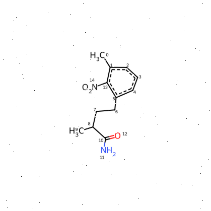 Cc1cccc(CCC(C)C(N)=O)c1[N+](=O)[O-]